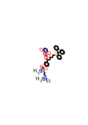 CCN(C)CCCN(C)C(=O)Oc1ccc(C(CCCCCSC(c2ccccc2)(c2ccccc2)c2ccccc2)OC(=O)ON2C(=O)CCC2=O)cc1